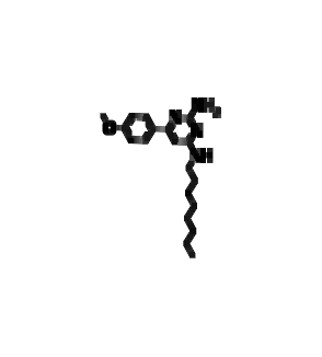 CCCCCCCCNc1cc(-c2ccc(OC)cc2)nc(N)n1